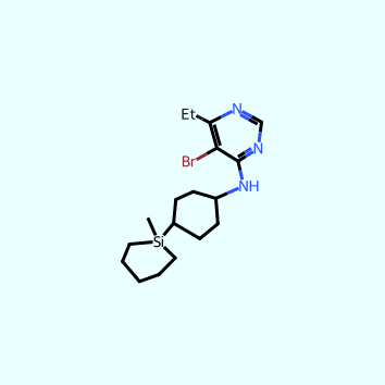 CCc1ncnc(NC2CCC([Si]3(C)CCCCC3)CC2)c1Br